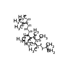 BC(=C)CC/C(C)=C(C)\C(CC)=C(\C)C(=C)/C(=C\C)CCCC(CC)=C(C)C